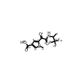 CC(NC(=O)C(=O)c1cc(C(=O)O)cn1C)C(F)(F)F